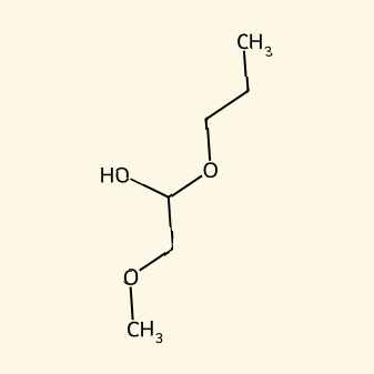 CCCOC(O)COC